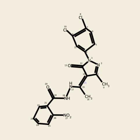 CC1=NN(c2ccc(Cl)c(Cl)c2)C(=O)/C1=C(/C)NNC(=O)c1ccccc1[N+](=O)[O-]